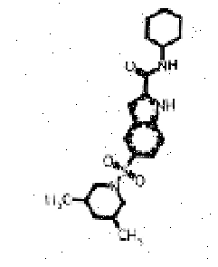 CC1CC(C)CN(S(=O)(=O)c2ccc3[nH]c(C(=O)NC4CCCCC4)cc3c2)C1